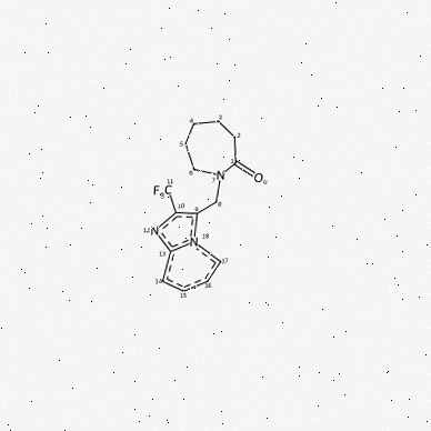 O=C1CCCCCN1Cc1c(C(F)(F)F)nc2ccccn12